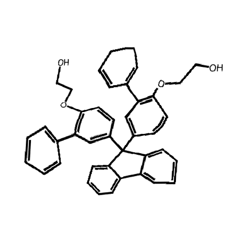 OCCOc1ccc(C2(c3ccc(OCCO)c(-c4ccccc4)c3)c3ccccc3-c3ccccc32)cc1C1=CCCC=C1